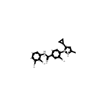 Cc1cc(C2CC2)n(-c2ccc(C(=O)Nc3cccc(F)c3F)cc2F)n1